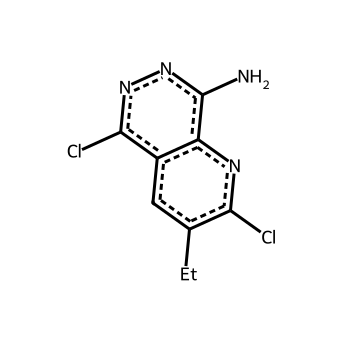 CCc1cc2c(Cl)nnc(N)c2nc1Cl